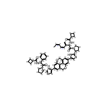 C=C(/C=C\C=C/C)[C@@H](NC(=O)C1CCC1)C(=O)N1CCC[C@H]1c1ncc(-c2cc3c4c(c2)OCc2cc(-c5cnc([C@@H]6CCCN6C(=O)[C@H](NC(=O)C6CCC6)c6ccccc6)[nH]5)cc(c2-4)OC3)[nH]1